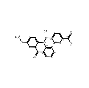 COc1ccc2c(c1)c(=O)c1ccccc1n2Cc1ccc(C(=O)O)cc1.[Na]